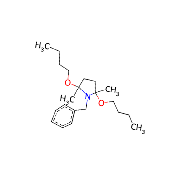 CCCCOC1(C)CCC(C)(OCCCC)N1Cc1ccccc1